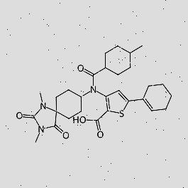 CC1CCC(C(=O)N(c2cc(C3=CCCCC3)sc2C(=O)O)C2CCC3(CC2)C(=O)N(C)C(=O)N3C)CC1